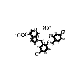 O=C([O-])c1cncc2c1ccn2Cc1cc(Cl)ccc1OCc1ccc(Cl)cc1F.[Na+]